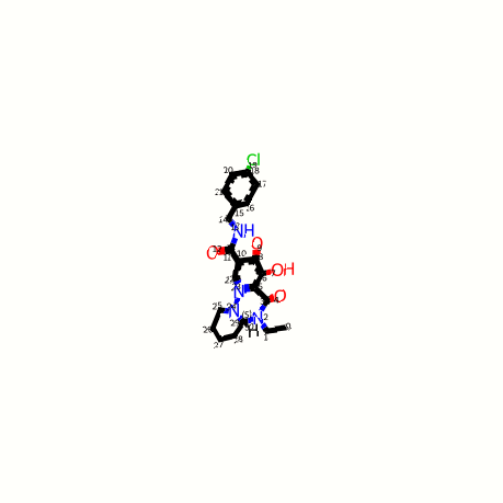 CCN1C(=O)c2c(O)c(=O)c(C(=O)NCc3ccc(Cl)cc3)cn2N2CCCC[C@@H]12